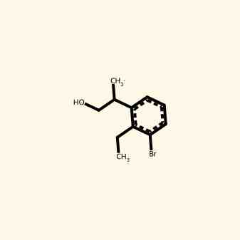 [CH2]C(CO)c1cccc(Br)c1CC